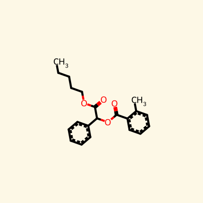 CCCCCOC(=O)C(OC(=O)c1ccccc1C)c1ccccc1